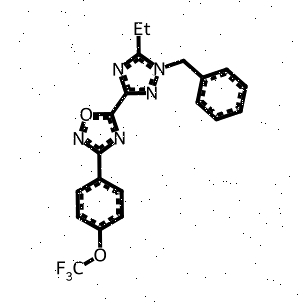 CCc1nc(-c2nc(-c3ccc(OC(F)(F)F)cc3)no2)nn1Cc1ccccc1